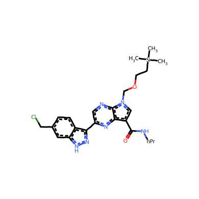 CCCNC(=O)c1cn(COCC[Si](C)(C)C)c2ncc(-c3n[nH]c4cc(CCl)ccc34)nc12